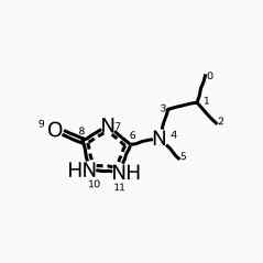 CC(C)CN(C)c1nc(=O)[nH][nH]1